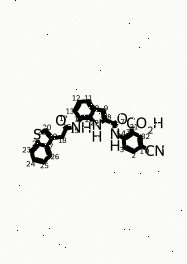 N#Cc1ccc(NC(=O)c2cc3cccc(NC(=O)Cc4csc5ccccc45)c3[nH]2)c(C(=O)O)c1